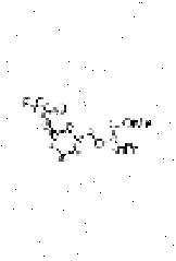 CCCC(COC)OCC1CCCN(OC(=O)C(F)(F)F)C1